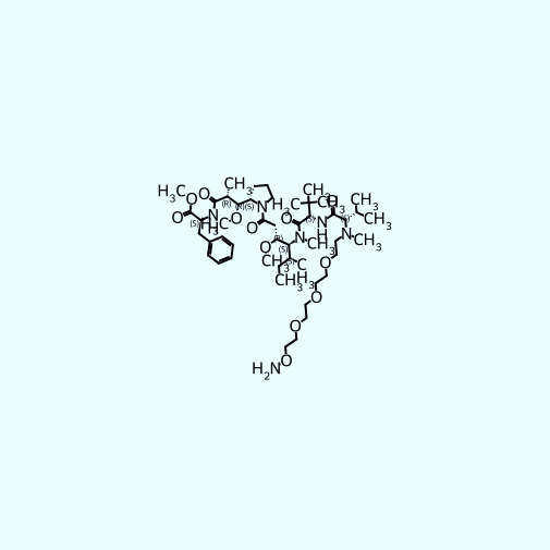 CC[C@H](C)[C@@H]([C@@H](CC(=O)N1CCC[C@H]1[C@H](OC)[C@@H](C)C(=O)N[C@@H](Cc1ccccc1)C(=O)OC)OC)N(C)C(=O)[C@@H](NC(=O)[C@H](C(C)C)N(C)CCOCCOCCOCCON)C(C)(C)C